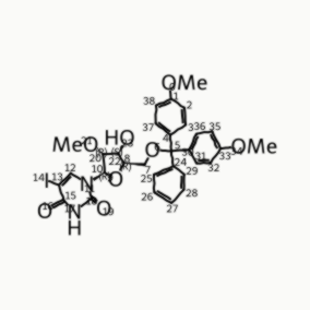 COc1ccc(C(OC[C@H]2O[C@@H](n3cc(I)c(=O)[nH]c3=O)[C@H](OC)[C@H]2O)(c2ccccc2)c2ccc(OC)cc2)cc1